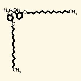 CCCCCCCCCCCCCCCCOc1cccc([Si](C)(O)c2cccc(OCCCCCCCCCCCCCCCC)c2)c1